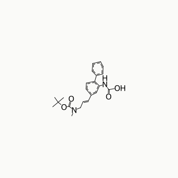 CN(C/C=C/c1ccc(-c2ccccc2)c(NC(=O)O)c1)C(=O)OC(C)(C)C